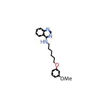 COc1cccc(OCCCCCCNc2ncnc3ccccc23)c1